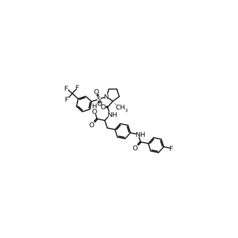 C[C@@]1(C(=O)NC(Cc2ccc(NC(=O)c3ccc(F)cc3)cc2)C(=O)O)CCCN1S(=O)(=O)c1cccc(C(F)(F)F)c1